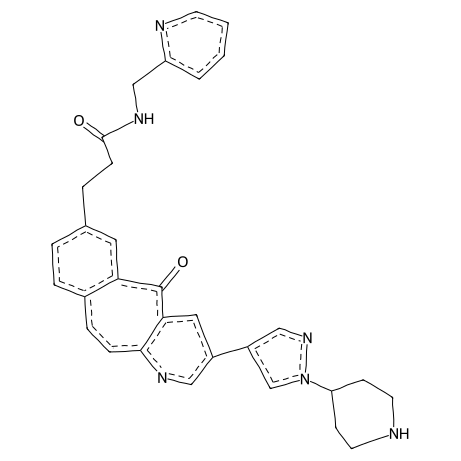 O=C(CCc1ccc2ccc3ncc(-c4cnn(C5CCNCC5)c4)cc3c(=O)c2c1)NCc1ccccn1